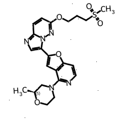 C[C@H]1CN(c2nccc3oc(-c4cnc5ccc(OCCCS(C)(=O)=O)nn45)cc23)CCO1